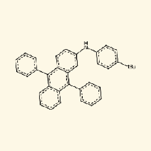 CC(C)(C)c1ccc(Nc2ccc3c(-c4ccccc4)c4ccccc4c(-c4ccccc4)c3c2)cc1